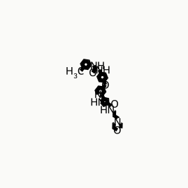 Cc1cccc(NC(=O)Nc2ccc(Oc3ccnc(-c4cc(C(=O)NCCCN5CCOCC5)c[nH]4)c3)cc2)c1